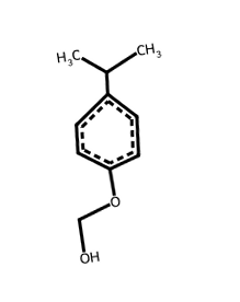 CC(C)c1ccc(OCO)cc1